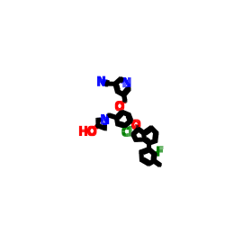 Cc1cccc(-c2cccc3c2CC[C@@H]3Oc2cc(OCc3cncc(C#N)c3)c(CN3CC(O)C3)cc2Cl)c1F